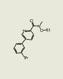 CCON(C)C(=O)c1ccc(-c2cccc(C(C)C)c2)cn1